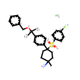 CC1(N)CCC(c2ccc(C(OCc3ccccc3)(C(F)(F)F)C(F)(F)F)cc2)(S(=O)(=O)c2ccc(F)cc2)CC1.Cl